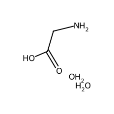 NCC(=O)O.O.O